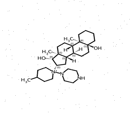 CC1CC[N+]([C@H]2C[C@H]3[C@@H]4CC[C@@]5(O)CCCC[C@]5(C)[C@H]4CC[C@]3(C)[C@H]2O)(N2CCNCC2)CC1